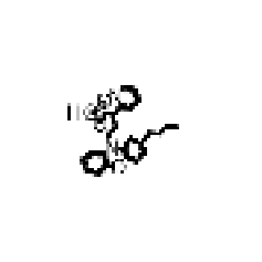 CCCCc1ccc2c(c1)N(CCC(c1ccccn1)S(=O)(=O)O)c1ccccc1O2